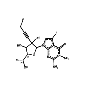 C[C@@H](O)[C@H]1OC(n2cc(F)c3c(=O)n(N)c(N)nc32)C(O)(C#CCF)C1O